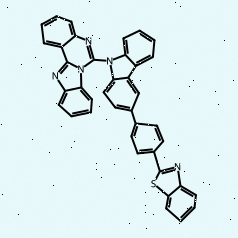 c1ccc2sc(-c3ccc(-c4ccc5c(c4)c4ccccc4n5-c4nc5ccccc5c5nc6ccccc6n45)cc3)nc2c1